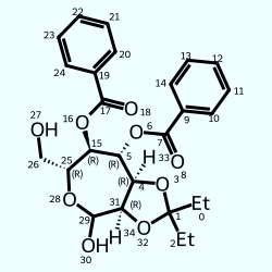 CCC1(CC)O[C@@H]2[C@@H](OC(=O)c3ccccc3)[C@H](OC(=O)c3ccccc3)[C@@H](CO)OC(O)[C@@H]2O1